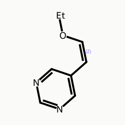 CCO/C=C\c1cncnc1